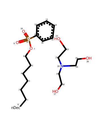 CCCCCCCCCCCCCCCCOS(=O)(=O)c1ccccc1.OCCN(CCO)CCO